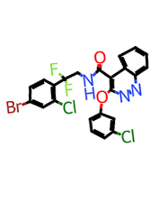 O=C(NCC(F)(F)c1ccc(Br)cc1Cl)c1c(Oc2cccc(Cl)c2)nnc2ccccc12